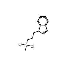 CS(Cl)(Cl)CCCC1C=Cc2ccccc21